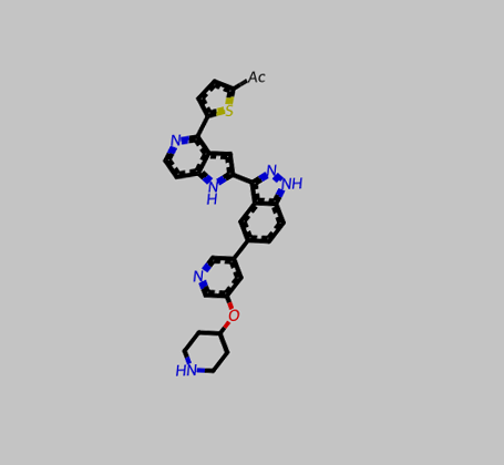 CC(=O)c1ccc(-c2nccc3[nH]c(-c4n[nH]c5ccc(-c6cncc(OC7CCNCC7)c6)cc45)cc23)s1